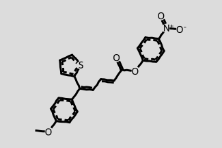 COc1ccc(C(=CC=CC(=O)Oc2ccc([N+](=O)[O-])cc2)c2cccs2)cc1